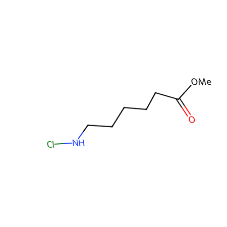 COC(=O)CCCCCNCl